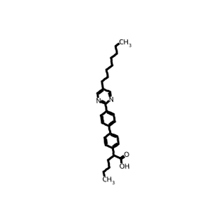 CCCCCCCCc1cnc(-c2ccc(-c3ccc(C(CCCC)C(=O)O)cc3)cc2)nc1